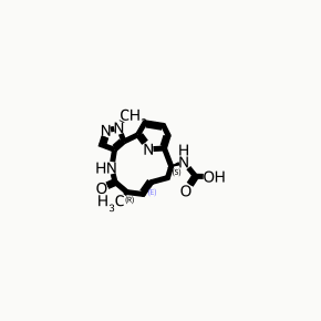 C[C@@H]1/C=C/C[C@H](NC(=O)O)c2cccc(n2)-c2c(cnn2C)NC1=O